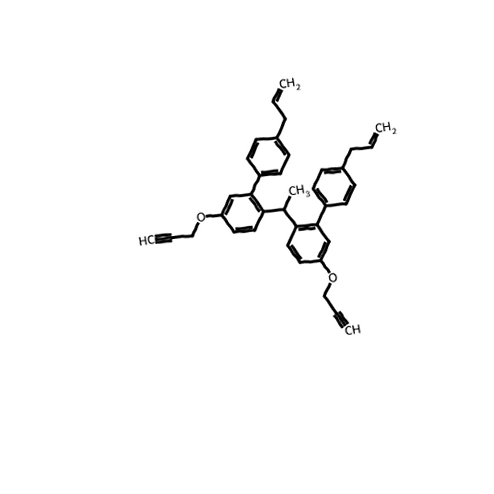 C#CCOc1ccc(C(C)c2ccc(OCC#C)cc2-c2ccc(CC=C)cc2)c(-c2ccc(CC=C)cc2)c1